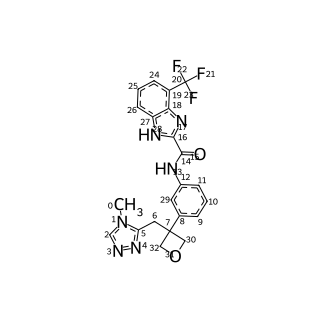 Cn1cnnc1CC1(c2cccc(NC(=O)c3nc4c(C(F)(F)F)cccc4[nH]3)c2)COC1